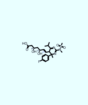 CC(C)C1=NC(N(C)S(C)(=O)=O)=NC(C)(c2ccc(F)cc2)C1/C=C/[C@@H](O)C[C@@H](O)CC(=O)O